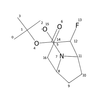 CC(C)(C)OC(=O)N1C2CCC1C(F)C([O])C2